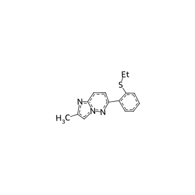 CCSc1ccccc1-c1ccc2nc(C)cn2n1